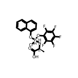 C[C@H](N[PH](Cl)(Oc1c(F)c(F)c(F)c(F)c1F)Oc1cccc2ccccc12)C(=O)O